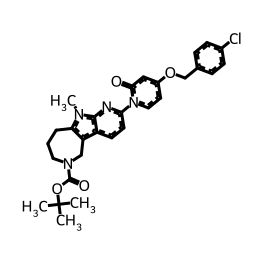 Cn1c2c(c3ccc(-n4ccc(OCc5ccc(Cl)cc5)cc4=O)nc31)CN(C(=O)OC(C)(C)C)CCC2